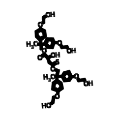 CC(COC(=O)C(O)CC(=S)OCC(C)(c1ccc(OCCO)cc1)c1ccc(OCCO)cc1)(c1ccc(OCCO)cc1)c1ccc(OCCO)cc1